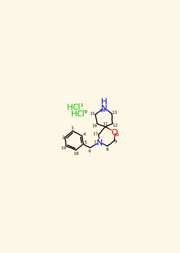 Cl.Cl.c1ccc(CN2CCOC3(CCNCC3)C2)cc1